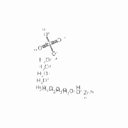 O.O.O.O.O.O.O.O.O.O.O=S(=O)([O-])[O-].[Zn+2]